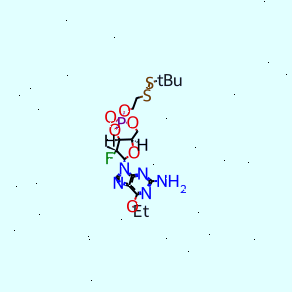 CCOc1nc(N)nc2c1ncn2[C@@H]1O[C@@H]2CO[P@@](=O)(OCCSSC(C)(C)C)O[C@H]2[C@@]1(C)F